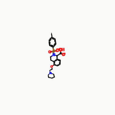 Cc1ccc(S(=O)(=O)N2CCc3c(OCCN4CCCCC4)cccc3C2C(=O)O)cc1